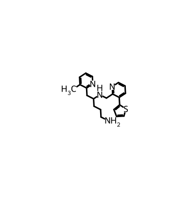 Cc1cccnc1CC(CCCN)NCc1ncccc1-c1cccs1